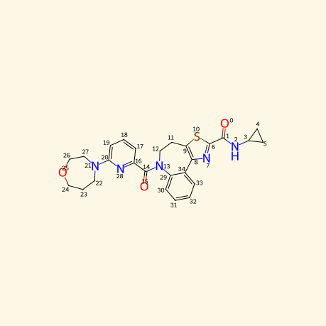 O=C(NC1CC1)c1nc2c(s1)CCN(C(=O)c1cccc(N3CCCOCC3)n1)c1ccccc1-2